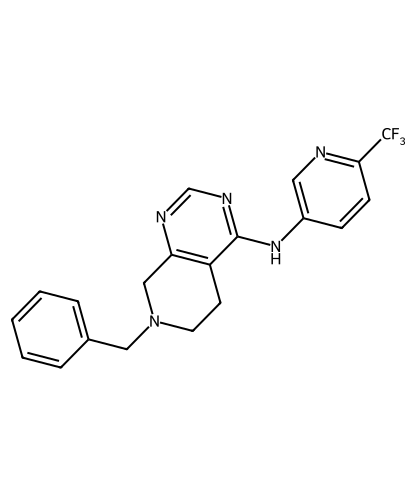 FC(F)(F)c1ccc(Nc2ncnc3c2CCN(Cc2ccccc2)C3)cn1